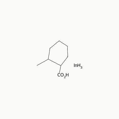 CC1CCCCC1C(=O)O.[InH3]